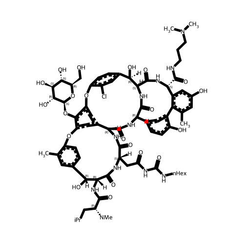 CCCCCCNC(=O)NC(=O)C[C@@H]1NC(=O)[C@H](NC(=O)[C@@H](CC(C)C)NC)[C@H](O)c2ccc(c(C)c2)Oc2cc3cc(c2O[C@@H]2O[C@H](CO)[C@@H](O)[C@H](O)[C@H]2O)Oc2ccc(cc2Cl)[C@@H](O)[C@@H]2NC(=O)[C@H](NC(=O)[C@@H]3NC1=O)c1ccc(O)c(c1)-c1c(C)cc(O)cc1[C@@H](C(=O)NCCCN(C)C)NC2=O